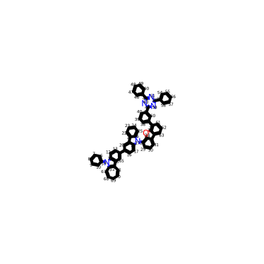 C1=Cc2c(n(-c3ccccc3)c3ccc(-c4ccc5c(c4)c4ccccc4n5-c4cccc5c4oc4c(-c6cccc(-c7nc(-c8ccccc8)nc(-c8ccccc8)n7)c6)cccc45)cc23)C=CC1